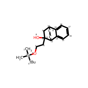 CC(C)(C)[Si](C)(C)OCCC1(O)CC2CCC1c1ccccc12